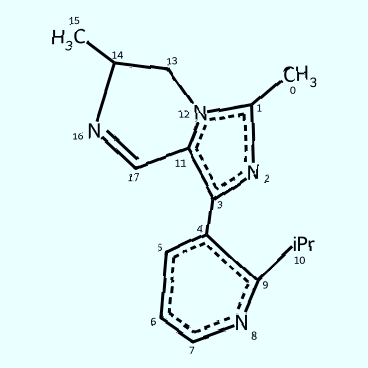 Cc1nc(-c2cccnc2C(C)C)c2n1CC(C)N=C2